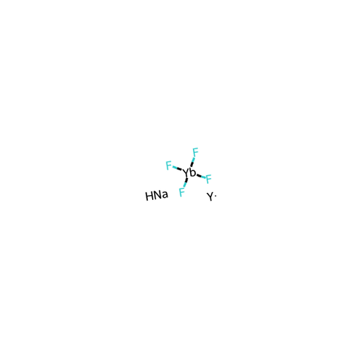 [F][Yb]([F])([F])[F].[NaH].[Y]